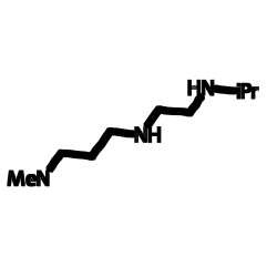 CNCCCNCCNC(C)C